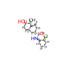 Cc1c(O)ccc2cc(C(=O)Nc3ccccc3Cl)ccc12